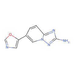 Nc1nc2ccc(-c3cnco3)cn2n1